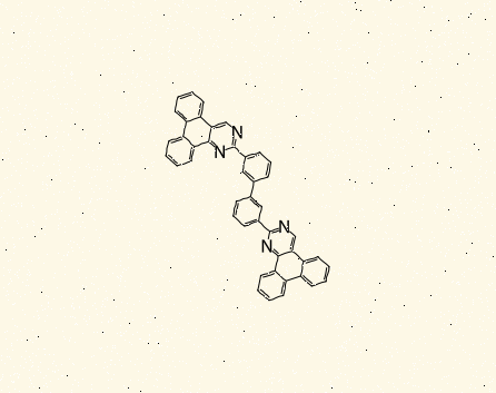 c1cc(-c2cccc(-c3ncc4c5ccccc5c5ccccc5c4n3)c2)cc(-c2ncc3c4ccccc4c4ccccc4c3n2)c1